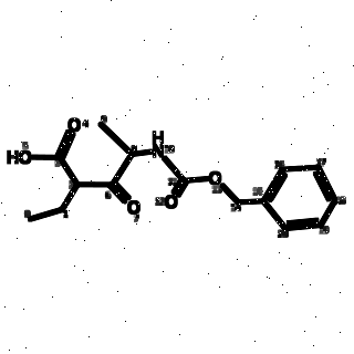 CCC(C(=O)O)C(=O)C(C)NC(=O)OCc1ccccc1